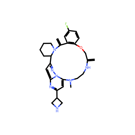 C=C1COc2ccc(F)cc2C(=C)N2CCCCC2c2cc3nc(C4CNC4)cc(n3n2)N(C)CCN1